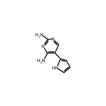 Nc1ncc(-c2ccc[nH]2)c(N)n1